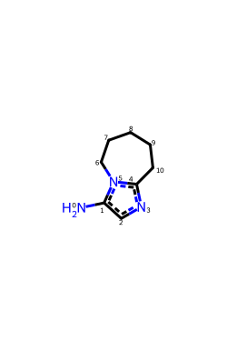 Nc1cnc2n1CCCCC2